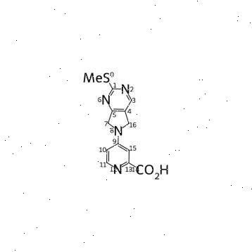 CSc1ncc2c(n1)CN(c1ccnc(C(=O)O)c1)C2